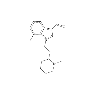 Cc1cccc2c(C=O)cn(CCC3CCCCN3C)c12